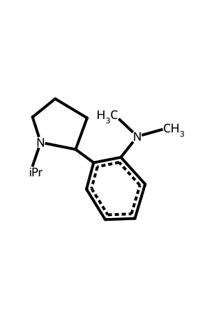 CC(C)N1CCCC1c1ccccc1N(C)C